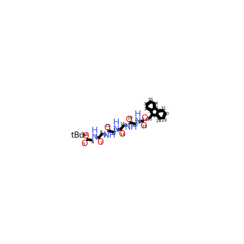 CC(C)(C)OC(=O)CNC(=O)CNC(=O)CNC(=O)CNC(=O)CNC(=O)OCC1c2ccccc2-c2ccccc21